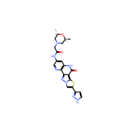 C[C@H]1CN(CC(=O)Nc2cnc3c(c2)[nH]c(=O)c2c3nn3cc(-c4cc[nH]n4)sc23)C[C@H](C)O1